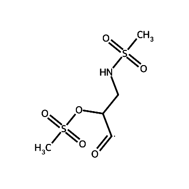 CS(=O)(=O)NCC([C]=O)OS(C)(=O)=O